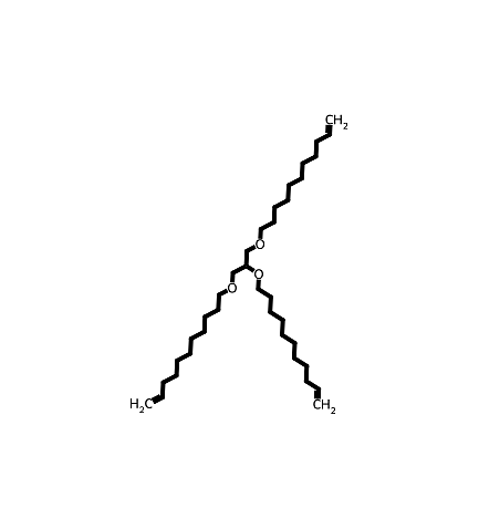 C=CCCCCCCCCCOCC(COCCCCCCCCCC=C)OCCCCCCCCCC=C